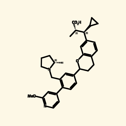 COc1cc(-c2ccc(C3CCc4ccc([C@H](C5CC5)[C@H](C)C(=O)O)cc4O3)cc2CN2CCC[C@@H]2C)ccn1